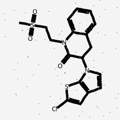 CS(=O)(=O)CCN1C(=O)C(n2ccc3cc(Cl)sc32)Cc2ccccc21